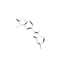 CCc1c(-c2ccc3sc(=O)n(C)c3c2)nc2cc(C)ccn12.Cl